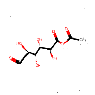 CC(=O)OC(=O)[C@@H](O)[C@@H](O)[C@H](O)[C@H](O)C=O